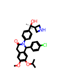 COc1cc2c(cc1OC(C)C)C(c1ccc(Cl)cc1)N(c1ccc([C@@](C)(O)C3CNC3)cc1)C(=O)C2